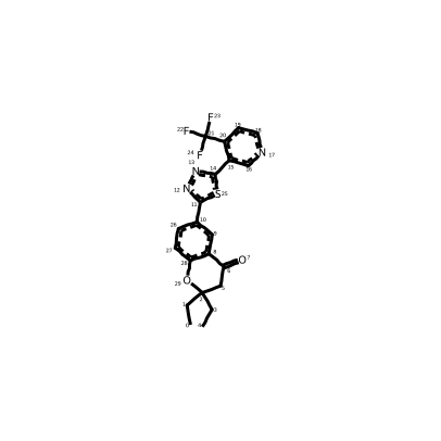 CCC1(CC)CC(=O)c2cc(-c3nnc(-c4cnccc4C(F)(F)F)s3)ccc2O1